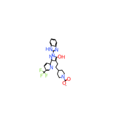 COC(=O)N1CCC(CCc2c(-c3ccc(C(F)(F)F)cn3)nn(-c3nc4ccccc4[nH]3)c2O)CC1